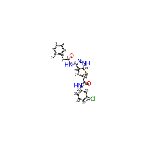 Cc1ccccc1CC(=O)Nc1n[nH]c2sc(C(=O)Nc3cccc(Cl)c3)cc12